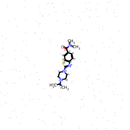 CC(C)N1CCN(c2nc3ccc(C(=O)N(C)C)cc3s2)CC1